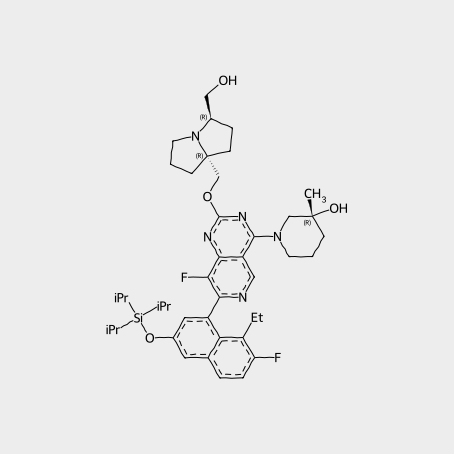 CCc1c(F)ccc2cc(O[Si](C(C)C)(C(C)C)C(C)C)cc(-c3ncc4c(N5CCC[C@@](C)(O)C5)nc(OC[C@]56CCCN5[C@@H](CO)CC6)nc4c3F)c12